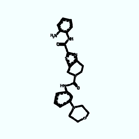 Nc1ccccc1NC(=O)c1nc2c(s1)CN(C(=O)Nc1cccc(N3CCOCC3)c1)CC2